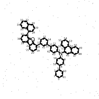 c1ccc(-c2ccc(N(c3ccc(-c4cccc(-c5cccc6c5oc5c(-c7cccc8ccccc78)cccc56)c4)cc3)c3cc4ccccc4c4ccccc34)cc2)cc1